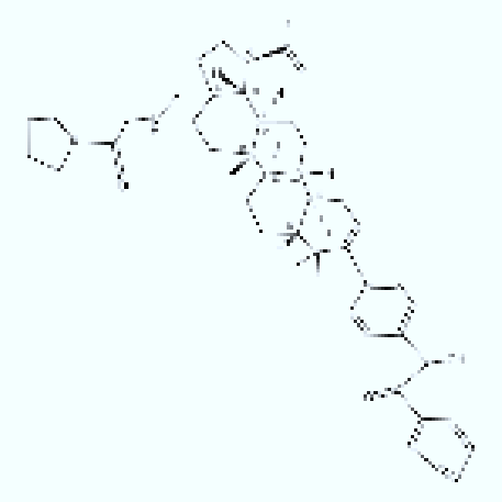 C=C(C)[C@@H]1CC[C@]2(CNCC(=O)N3CCCC3)CC[C@]3(C)[C@H](CC[C@@H]4[C@@]5(C)CC=C(c6ccc(C(O)C(=O)c7ccccc7)cc6)C(C)(C)[C@@H]5CC[C@]43C)[C@@H]12